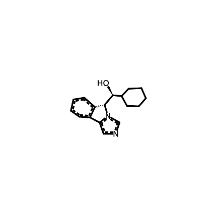 O[C@@H](C1CCCCC1)[C@H]1c2ccccc2-c2cncn21